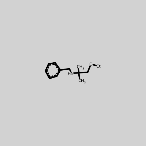 CCOCC(C)(C)NCc1ccccc1